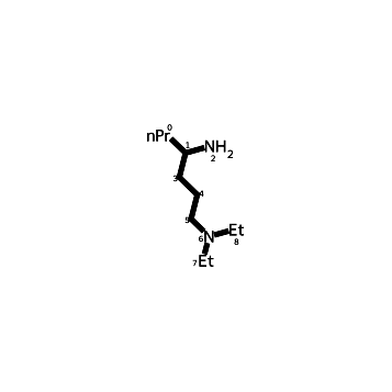 CCCC(N)CCCN(CC)CC